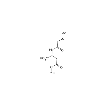 CC(=O)SCC(=O)NC(CC(=O)OC(C)(C)C)C(=O)O